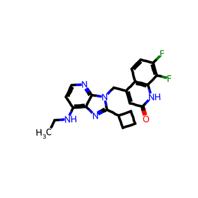 CCNc1ccnc2c1nc(C1CCC1)n2Cc1cc(=O)[nH]c2c(F)c(F)ccc12